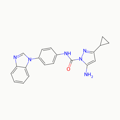 Nc1cc(C2CC2)nn1C(=O)Nc1ccc(-n2cnc3ccccc32)cc1